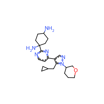 NC1CCC(N)(c2nccc(-c3cnn(C4CCCOC4)c3CC3CC3)n2)CC1